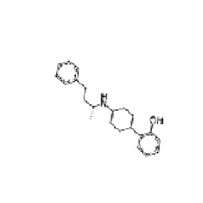 C[C@H](CCc1ccccc1)NC1CCC(c2ccccc2O)CC1